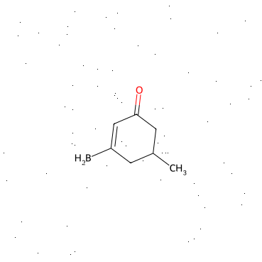 BC1=CC(=O)CC(C)C1